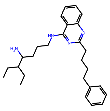 CCC(CC)C(N)CCCNc1nc(CCCCc2ccccc2)nc2ccccc12